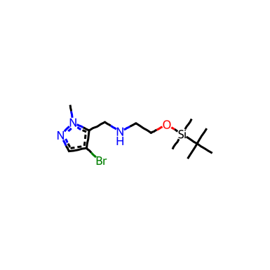 Cn1ncc(Br)c1CNCCO[Si](C)(C)C(C)(C)C